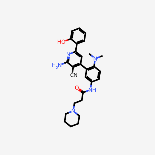 CN(C)c1ccc(NC(=O)CCN2CCCCC2)cc1-c1cc(-c2ccccc2O)nc(N)c1C#N